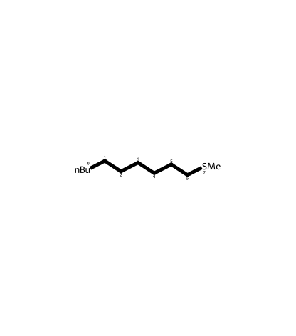 CCCCCCCCC[CH]SC